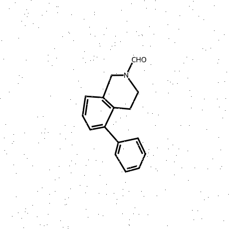 O=CN1CCc2c(cccc2-c2ccccc2)C1